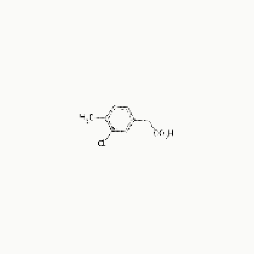 Cc1ccc(CC(=O)O)cc1Cl